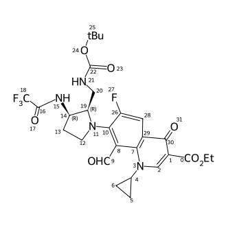 CCOC(=O)c1cn(C2CC2)c2c(C=O)c(N3CC[C@@H](NC(=O)C(F)(F)F)[C@H]3CNC(=O)OC(C)(C)C)c(F)cc2c1=O